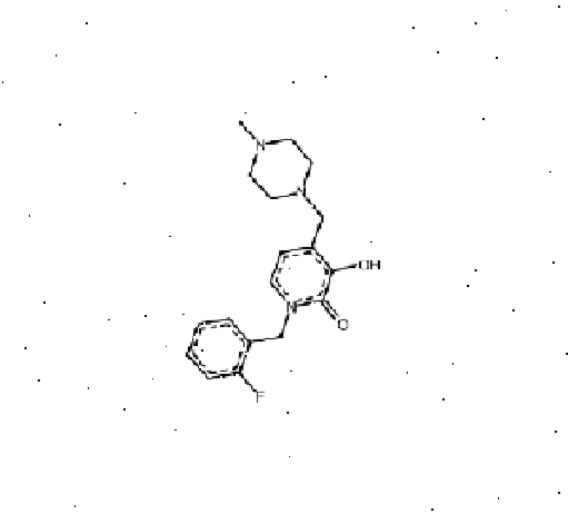 CN1CCN(Cc2ccn(Cc3ccccc3F)c(=O)c2O)CC1